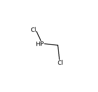 ClCPCl